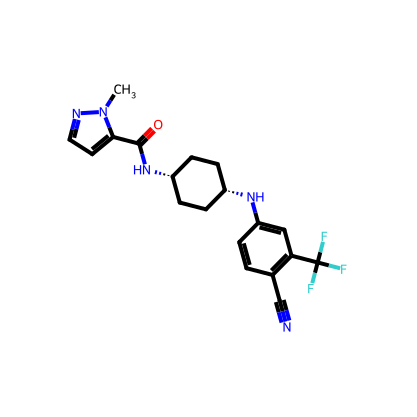 Cn1nccc1C(=O)N[C@H]1CC[C@@H](Nc2ccc(C#N)c(C(F)(F)F)c2)CC1